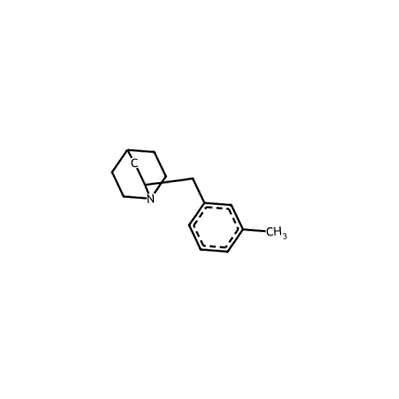 Cc1cccc(CC2CC3CCN2CC3)c1